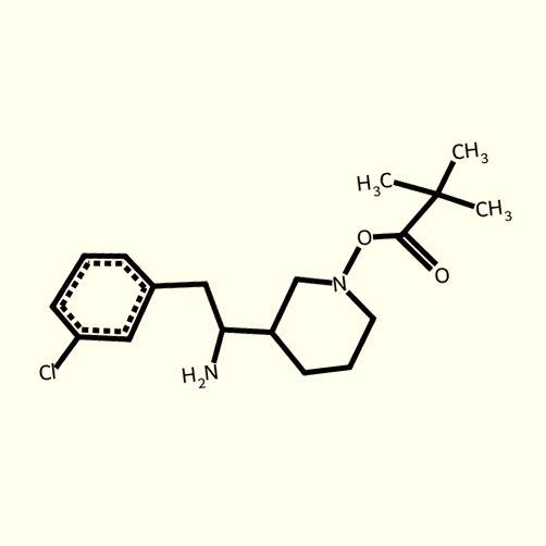 CC(C)(C)C(=O)ON1CCCC(C(N)Cc2cccc(Cl)c2)C1